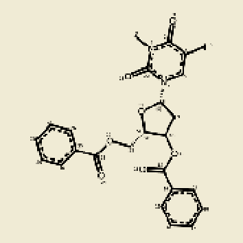 Cn1c(=O)c(I)cn([C@@H]2CC(OC(=O)c3ccccc3)[C@H](COC(=O)c3ccccc3)O2)c1=O